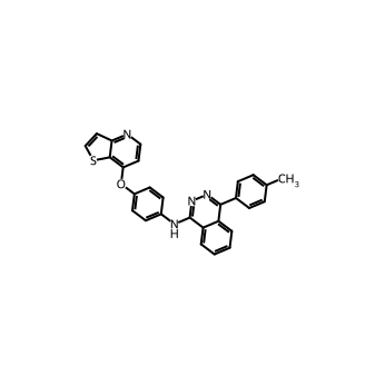 Cc1ccc(-c2nnc(Nc3ccc(Oc4ccnc5ccsc45)cc3)c3ccccc23)cc1